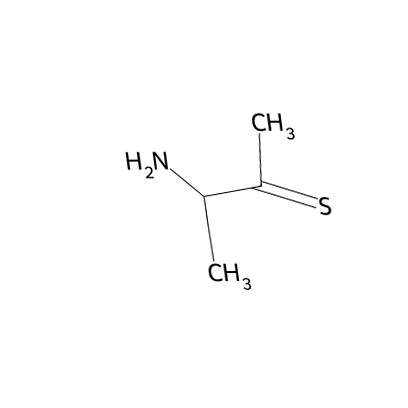 CC(=S)C(C)N